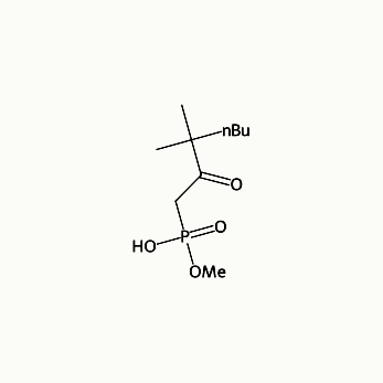 CCCCC(C)(C)C(=O)CP(=O)(O)OC